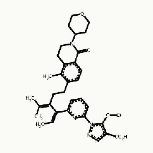 C/C=C(\C(CCc1ccc2c(c1C)CCN(C1CCOCC1)C2=O)=C(C)C)c1cccc(-n2ncc(C(=O)O)c2OCC)n1